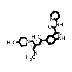 C=N/C=C(\C=C(/C)c1ccc2[nH]nc(C(=O)Nc3ccccn3)c2c1)CN1CCC(C)CC1